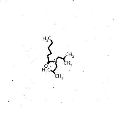 CCCCC[C](=O)[Al]([CH2]C(C)C)[CH2]C(C)C